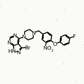 O=[N+]([O-])c1cc(CN2CCN(c3ncnc4[nH]nc(Br)c34)CC2)ccc1Oc1ccc(F)cc1